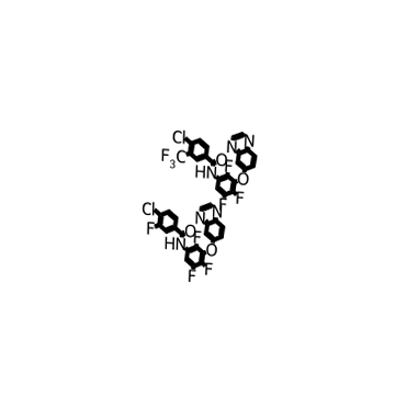 O=C(Nc1cc(F)c(F)c(Oc2ccc3nccnc3c2)c1F)c1ccc(Cl)c(C(F)(F)F)c1.O=C(Nc1cc(F)c(F)c(Oc2ccc3nccnc3c2)c1F)c1ccc(Cl)c(F)c1